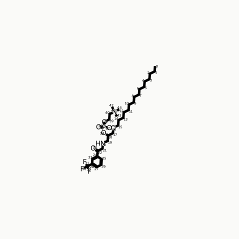 CCCCCCCCCCCCCCCCOCC(CNCC(=O)c1cccc(C(F)(F)F)c1)OP(=O)([O-])OCC[N+](C)(C)C